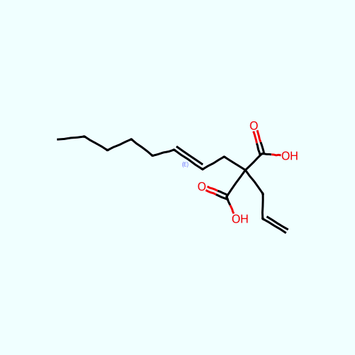 C=CCC(C/C=C/CCCCC)(C(=O)O)C(=O)O